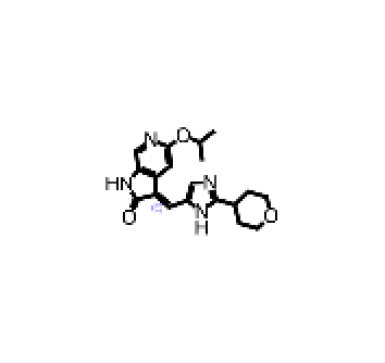 CC(C)Oc1cc2c(cn1)NC(=O)/C2=C/c1cnc(C2CCOCC2)[nH]1